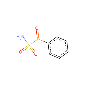 NS(=O)(=O)[P](=O)c1ccccc1